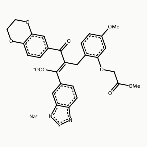 COC(=O)COc1cc(OC)ccc1CC(C(=O)c1ccc2c(c1)OCCO2)=C(C(=O)[O-])c1ccc2nsnc2c1.[Na+]